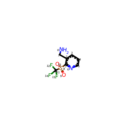 NCc1cccnc1S(=O)(=O)C(F)(F)F